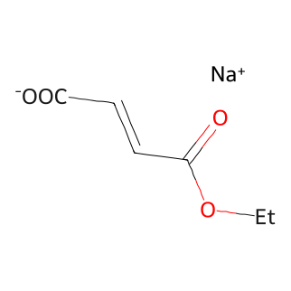 CCOC(=O)C=CC(=O)[O-].[Na+]